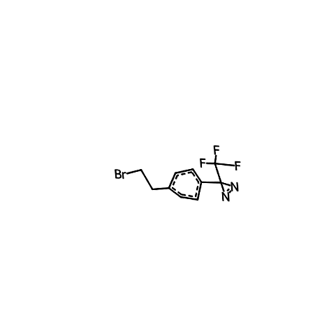 FC(F)(F)C1(c2ccc(CCBr)cc2)N=N1